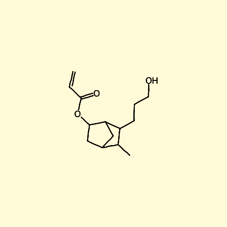 C=CC(=O)OC1CC2CC1C(CCCO)C2C